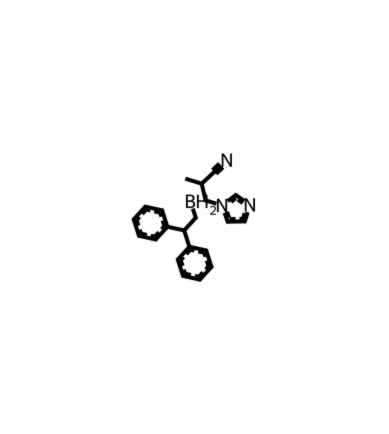 BCC(c1ccccc1)c1ccccc1.CC(C#N)Cn1ccnc1